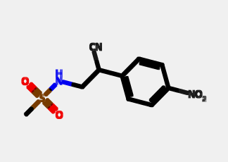 CS(=O)(=O)NCC(C#N)c1ccc([N+](=O)[O-])cc1